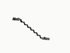 [CH2]OC=CCCCCCCCCCCCCCCCCCCCCC